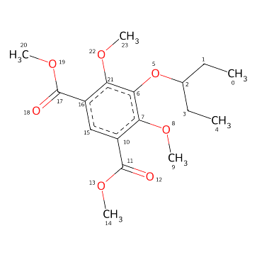 CCC(CC)Oc1c(OC)c(C(=O)OC)cc(C(=O)OC)c1OC